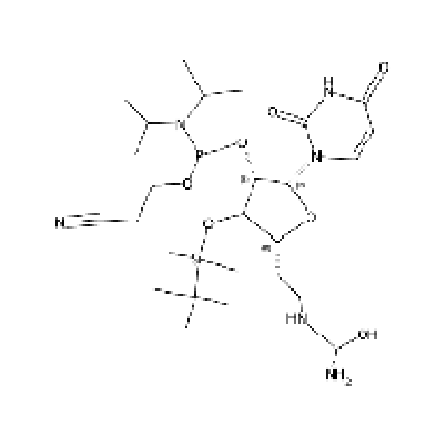 CC(C)N(C(C)C)P(OCCC#N)O[C@H]1C(O[Si](C)(C)C(C)(C)C)[C@@H](CCNC(N)O)O[C@H]1n1ccc(=O)[nH]c1=O